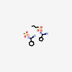 CCCCS(=O)(=O)ON=C(C#N)C1=CCCC1.CS(=O)(=O)ON=C(C#N)C1=CCCCC1